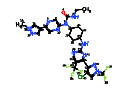 CCNC(=O)N(c1cnc(-c2cnn(C)c2)cn1)C1CCC(Nc2ncc(C(F)(F)F)c(-c3nn(C(F)F)cc3Cl)n2)CC1